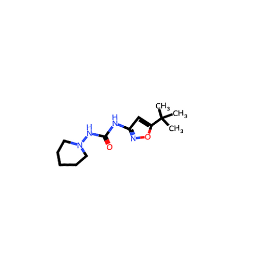 CC(C)(C)c1cc(NC(=O)NN2CCCCC2)no1